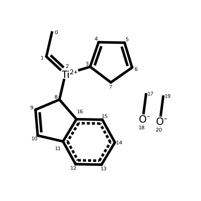 C/[CH]=[Ti+2](\[C]1=CC=CC1)[CH]1C=Cc2ccccc21.C[O-].C[O-]